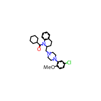 COc1ccc(Cl)cc1N1CCN(CC2CCc3ccccc3N2C(=O)C2CCCCC2)CC1